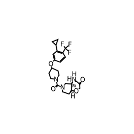 O=C1CO[C@H]2CCN(C(=O)N3CCC(Oc4ccc(C(F)(F)F)c(C5CC5)c4)CC3)C[C@H]2N1